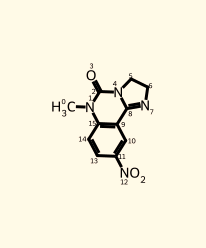 CN1C(=O)N2CCN=C2c2cc([N+](=O)[O-])ccc21